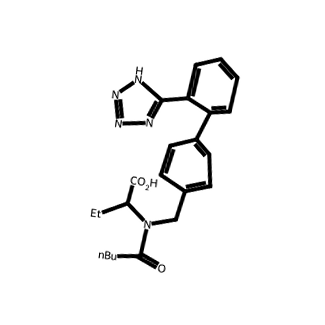 CCCCC(=O)N(Cc1ccc(-c2ccccc2-c2nnn[nH]2)cc1)C(CC)C(=O)O